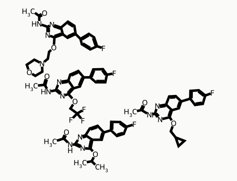 CC(=O)Nc1nc(OC(C)C)c2cc(-c3ccc(F)cc3)ccc2n1.CC(=O)Nc1nc(OCC(F)(F)F)c2cc(-c3ccc(F)cc3)ccc2n1.CC(=O)Nc1nc(OCC2CC2)c2cc(-c3ccc(F)cc3)ccc2n1.CC(=O)Nc1nc(OCCN2CCOCC2)c2cc(-c3ccc(F)cc3)ccc2n1